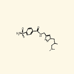 CC(CN(C)C)Cn1cc(CNC(=O)c2ccc(S(N)(=O)=O)cc2)nn1